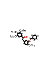 COc1ccc(CC(O)c2cc(OC)c(OC)c(OC)c2)cc1OCc1ccccc1